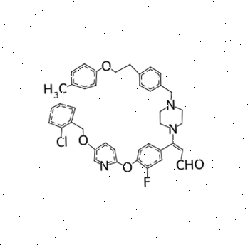 Cc1ccc(OCCc2ccc(CN3CCN(/C(=C/C=O)c4ccc(Oc5ccc(OCc6ccccc6Cl)cn5)c(F)c4)CC3)cc2)cc1